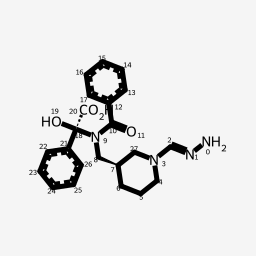 NN=CN1CCC[C@@H](CN(C(=O)c2ccccc2)[C@@](O)(C(=O)O)c2ccccc2)C1